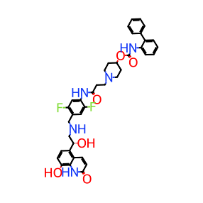 O=C(CCN1CCC(OC(=O)Nc2ccccc2-c2ccccc2)CC1)Nc1cc(F)c(CNC[C@H](O)c2ccc(O)c3[nH]c(=O)ccc23)cc1F